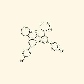 O=C1c2c(C3=CC=CC=CN3)cc(-c3ccc(Br)cc3)cc2-c2cc(-c3ccc(Br)cc3)cc(C3=CC=CC=CN3)c21